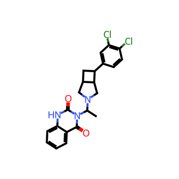 CC(N1CC2CC(c3ccc(Cl)c(Cl)c3)C2C1)n1c(=O)[nH]c2ccccc2c1=O